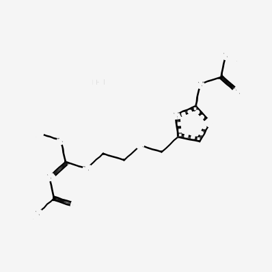 CN/C(=N/C(N)=O)NCCSCc1csc(NC(=N)N)n1.Cl